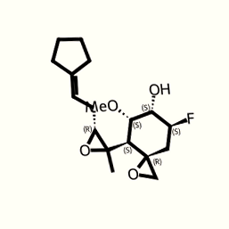 CO[C@@H]1[C@H](O)[C@@H](F)C[C@]2(CO2)[C@H]1C1(C)O[C@@H]1CC=C1CCCC1